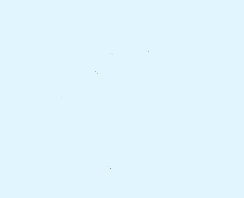 C=C/C(=C1/CNC(=O)/C1=C(/C)Nc1ccc(N2CCC(O)CC2)cn1)c1cnc2cnccn12